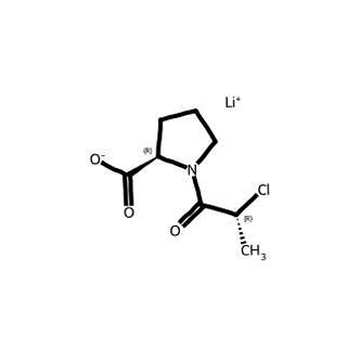 C[C@@H](Cl)C(=O)N1CCC[C@@H]1C(=O)[O-].[Li+]